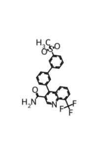 CS(=O)(=O)c1cccc(-c2cccc(-c3c(C(N)=O)cnc4c(C(F)(F)F)cccc34)c2)c1